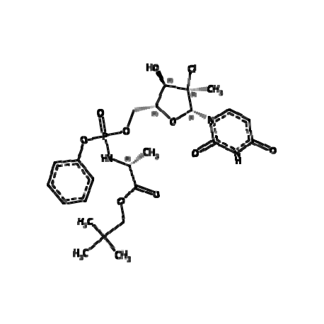 C[C@@H](NP(=O)(OC[C@H]1O[C@@H](n2ccc(=O)[nH]c2=O)[C@](C)(Cl)[C@@H]1O)Oc1ccccc1)C(=O)OCC(C)(C)C